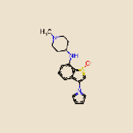 CN1CCC(Nc2cccc3c(-n4cccc4)c[s+]([O-])c23)CC1